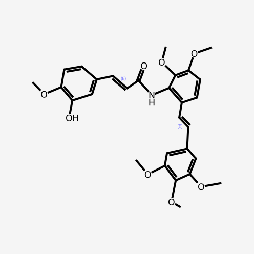 COc1ccc(/C=C/C(=O)Nc2c(/C=C/c3cc(OC)c(OC)c(OC)c3)ccc(OC)c2OC)cc1O